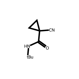 CC(C)(C)NC(=O)C1(C#N)CC1